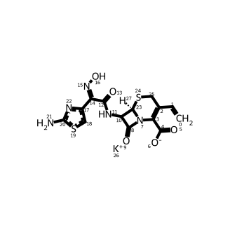 C=CC1=C(C(=O)[O-])N2C(=O)C(NC(=O)/C(=N\O)c3csc(N)n3)[C@H]2SC1.[K+]